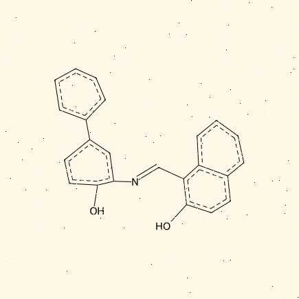 Oc1ccc(-c2ccccc2)cc1/N=C/c1c(O)ccc2ccccc12